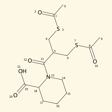 CC(=O)SCC(CSC(C)=O)C(=O)N1CCCCC1C(=O)O